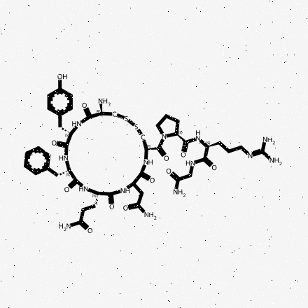 NC(=O)CC[C@@H]1NC(=O)[C@H](Cc2ccccc2)NC(=O)[C@H](Cc2ccc(O)cc2)NC(=O)[C@@H](N)CSSC[C@@H](C(=O)N2CCC[C@H]2C(=O)N[C@@H](CCCN=C(N)N)C(=O)NCC(N)=O)NC(=O)C(CC(N)=O)NC1=O